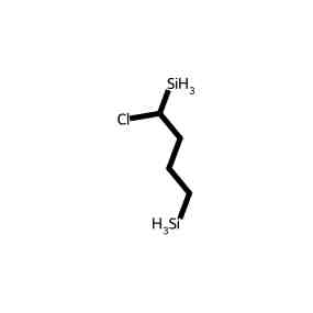 [SiH3]CCCC([SiH3])Cl